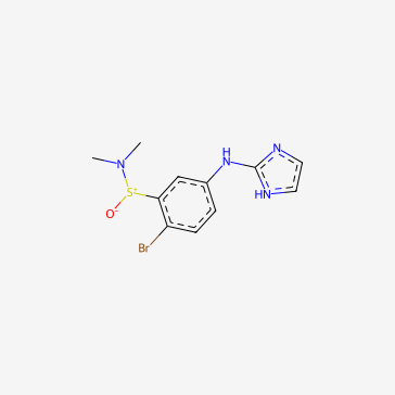 CN(C)[S+]([O-])c1cc(Nc2ncc[nH]2)ccc1Br